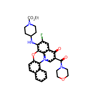 CCOC(=O)N1CCC(Nc2c(F)cc3c(=O)c(C(=O)N4CCOCC4)cn4c3c2Oc2ccc3ccccc3c2-4)CC1